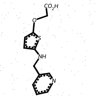 O=C(O)COc1ccc(NCc2cccnc2)s1